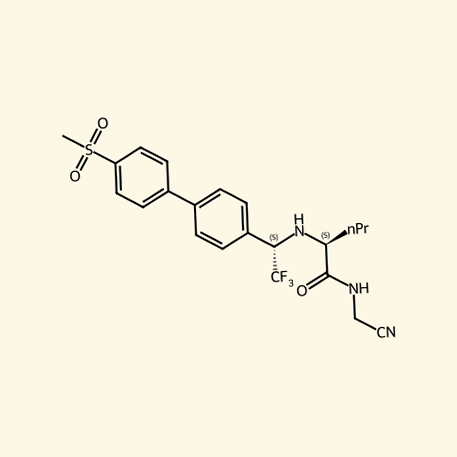 CCC[C@H](N[C@@H](c1ccc(-c2ccc(S(C)(=O)=O)cc2)cc1)C(F)(F)F)C(=O)NCC#N